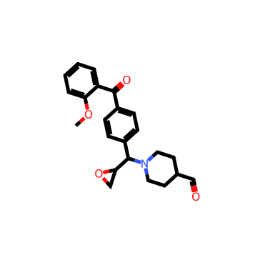 COc1ccccc1C(=O)c1ccc(C(C2CO2)N2CCC(C=O)CC2)cc1